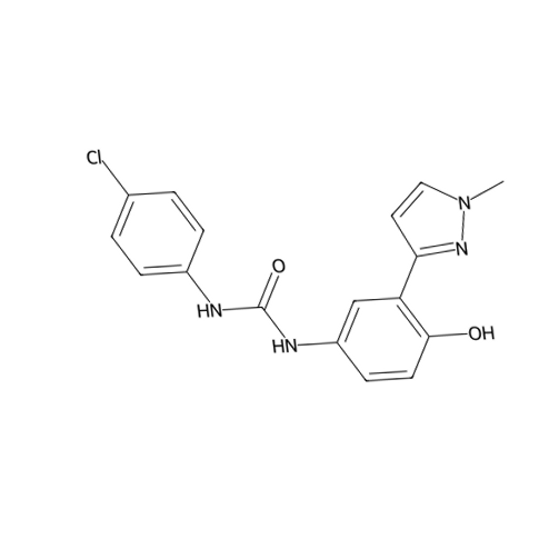 Cn1ccc(-c2cc(NC(=O)Nc3ccc(Cl)cc3)ccc2O)n1